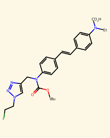 CCN(C(=O)O)c1ccc(C=Cc2ccc(N(Cc3cn(CCF)nn3)C(=O)OC(C)(C)C)cc2)cc1